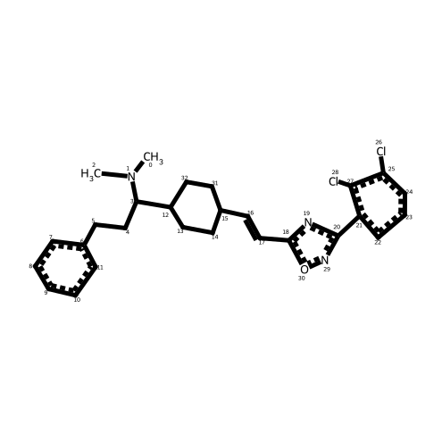 CN(C)C(CCc1ccccc1)C1CCC(C=Cc2nc(-c3cccc(Cl)c3Cl)no2)CC1